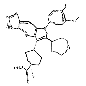 COc1cc(-n2c(C3CCOCC3)c([C@H]3CC[C@](C)(C(=O)O)CC3)c3nc4[nH]ncc4cc32)ccc1F